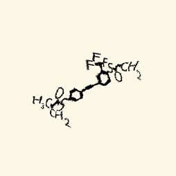 C=CC(=O)Sc1ccc(C#Cc2ccc(SC(=O)C(=C)C)cc2)cc1C(F)(F)F